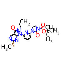 C=CCn1c(=O)c2cnc(SC)nc2n1-c1cccc(N2CCN(C(=O)OC(C)(C)C)C2=O)n1